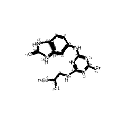 CCCCC(CC)CNc1nc(Nc2ccc3[nH]c(=O)[nH]c3c2)nc(C(C)C)n1